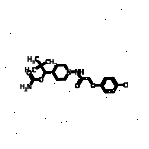 CC(C)(C)C(OC(N)=O)C1CCN(NC(=O)COc2ccc(Cl)cc2)CC1